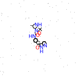 CC1CNCC(N(CC(=O)Nc2ccc3c(c2)C[C@@]2(C3)C(=O)Nc3ncccc32)C(=O)C(C)(C)C)C1